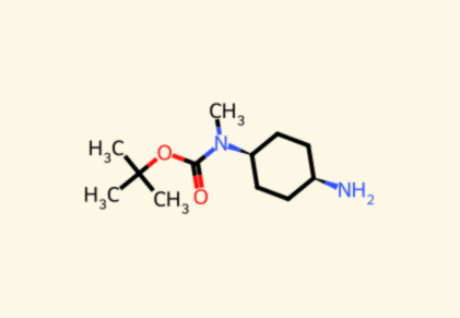 CN(C(=O)OC(C)(C)C)[C@H]1CC[C@@H](N)CC1